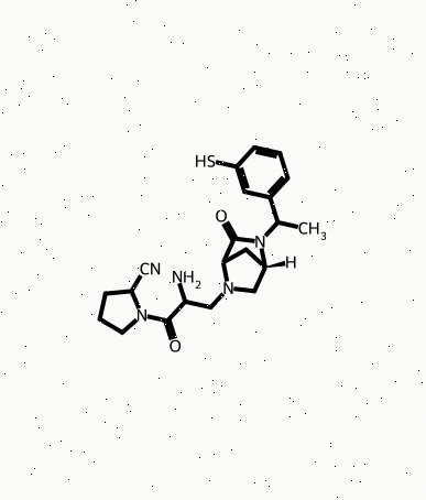 CC(c1cccc(S)c1)N1C(=O)C2C[C@H]1CN2CC(N)C(=O)N1CCCC1C#N